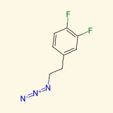 [N-]=[N+]=NCCc1ccc(F)c(F)c1